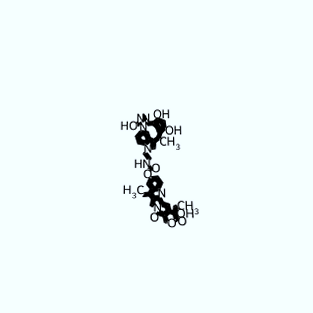 CCc1c2c(nc3ccc(OC(=O)NCCn4cc5c6cc(ccc64)-n4c(O)nnc4-c4cc(c(O)cc4O)C5C)cc13)-c1cc3c(c(=O)n1C2)COC(=O)C3(O)CC